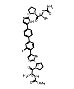 COC(=O)N[C@@H](C)C(=O)N1CCC[C@H]1c1ncc(-c2ccc(-c3ccc(-c4cnc([C@@H]5CCCN5C(=O)[C@@H](OC(N)=O)C(C)C)[nH]4)cc3)cc2F)[nH]1